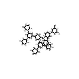 Cc1cc(C)cc(-c2ccc3c(c2)c2ccccc2n3-c2ccc(-c3nc(-c4ccccc4)cc(-c4ccccc4)n3)cc2-c2cc(-c3ccccc3)nc(-c3ccccc3)n2)c1